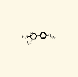 CCCOc1ccc(C2CN=C(N)N(C)C2)cc1